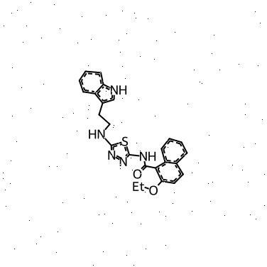 CCOc1ccc2ccccc2c1C(=O)Nc1nnc(NCCc2c[nH]c3ccccc23)s1